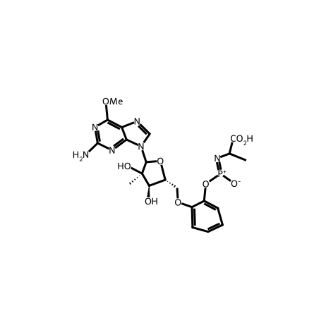 COc1nc(N)nc2c1ncn2C1O[C@H](COc2ccccc2O/[P+]([O-])=N/C(C)C(=O)O)[C@@H](O)[C@@]1(C)O